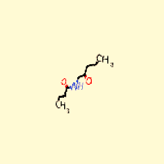 CCCC(=O)CNC(=O)CCC